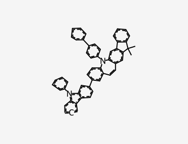 CC1(C)c2ccccc2-c2cc3c(cc21)C=Cc1cc(-c2ccc4c5ccccc5n(-c5ccccc5)c4c2)ccc1N3c1ccc(-c2ccccc2)cc1